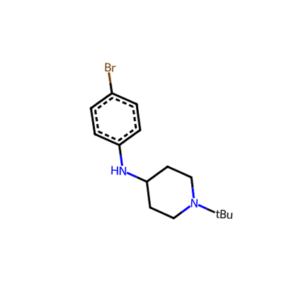 CC(C)(C)N1CCC(Nc2ccc(Br)cc2)CC1